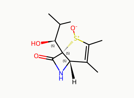 CC1=C(C)[S+]([O-])[C@@]2([C@@H](O)C(C)C)C(=O)N[C@@H]12